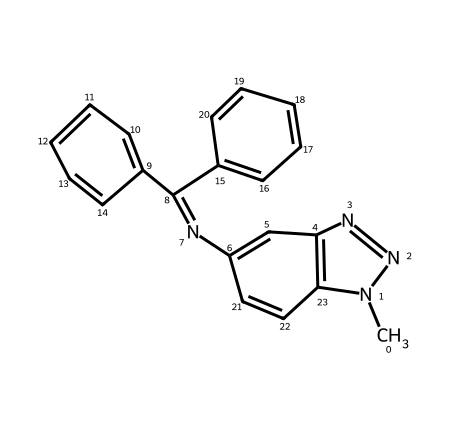 Cn1nnc2cc(N=C(c3ccccc3)c3ccccc3)ccc21